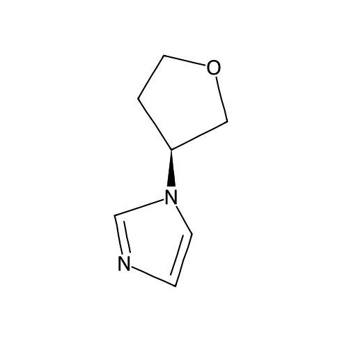 c1cn([C@H]2CCOC2)cn1